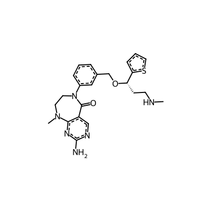 CNCC[C@H](OCc1cccc(N2CCN(C)c3nc(N)ncc3C2=O)c1)c1cccs1